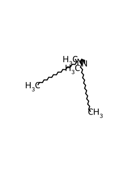 CCCCCCCCCCCCCCCCCC(C)c1nccn1C(C)CCCCCCCCCCCCCCCCC